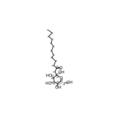 CCCCCCCCCCCC(=O)C[C@@]1(O)O[C@H](CO)[C@@H](O)[C@H](O)[C@@H]1O